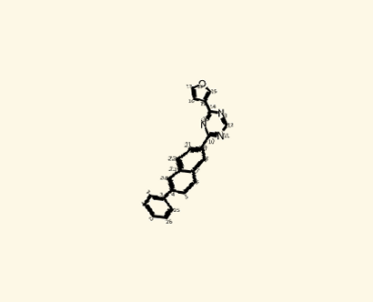 c1ccc(-c2ccc3cc(-c4ncnc(-c5ccoc5)n4)ccc3c2)cc1